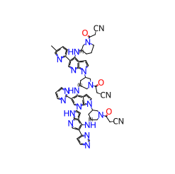 Cc1ccc(-c2cnc3c(ccn3C3C[C@@H](Nc4c(-c5ncccn5)cnc5c4ccn5C4C[C@@H](Nc5c(-c6ccncn6)cnc6[nH]ccc56)CN(C(=O)CC#N)C4)CN(C(=O)CC#N)C3)c2N[C@@H]2CCCN(C(=O)CC#N)C2)nc1